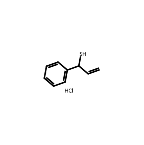 C=CC(S)c1ccccc1.Cl